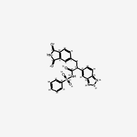 O=C1NC(=O)c2cc(CC(C(=O)NS(=O)(=O)c3ccccc3)c3ccc4nsnc4c3)ccc21